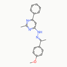 COc1ccc(C(C)=NNc2cc(-c3ccccc3)nc(C)n2)cc1